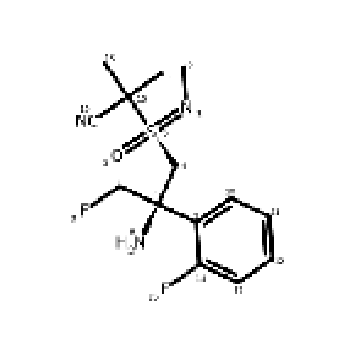 CN=[S@@](=O)(C[C@@](N)(CF)c1ccccc1F)C(C)(C)C#N